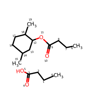 CCCC(=O)O.CCCC(=O)OC1CC(C)CCC1C